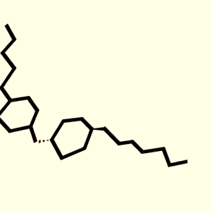 CCCCCCC[C@H]1CC[C@H](CC2CCC(CCCCC)CC2)CC1